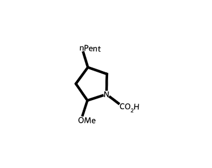 CCCCCC1CC(OC)N(C(=O)O)C1